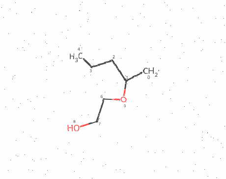 [CH2]C(CCC)OCCO